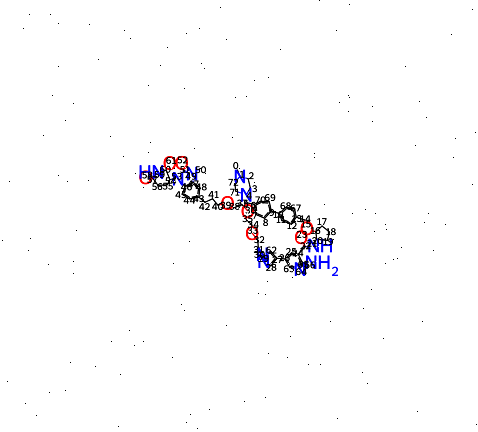 CN1CCN(Cc2ccc(-c3ccc(CO[C@H]4CCC[C@@H]4NC(=O)c4cc(-c5cnn(CCOCCOCCOCCCc6ccc7c(c6)n(C)c(=O)n7C6CCC(=O)NC6=O)c5)cnc4N)cc3)cc2)CC1